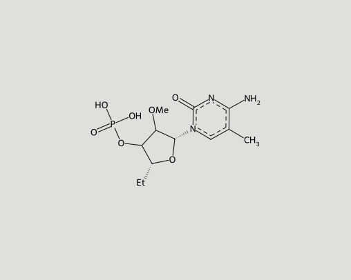 CC[C@H]1O[C@@H](n2cc(C)c(N)nc2=O)C(OC)C1OP(=O)(O)O